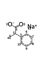 O=C([O-])C(I)c1ccccc1.[Na+]